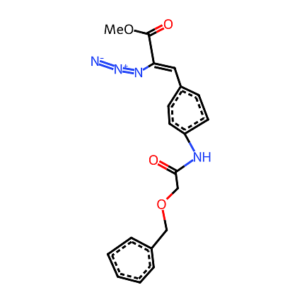 COC(=O)/C(=C/c1ccc(NC(=O)COCc2ccccc2)cc1)N=[N+]=[N-]